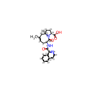 CC1=CC[C@H](NC(=O)c2nccc3ccccc23)C(=O)N2[C@@H](CC[C@H]2C(=O)O)C1